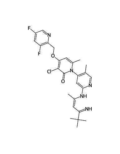 C/C(=C/C(=N)C(C)(C)C)Nc1cc(-n2c(C)cc(OCc3ncc(F)cc3F)c(Cl)c2=O)c(C)cn1